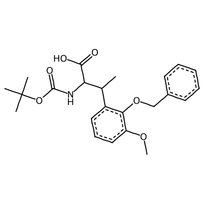 COc1cccc(C(C)C(NC(=O)OC(C)(C)C)C(=O)O)c1OCc1ccccc1